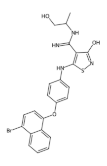 CC(CO)NC(=N)c1c(O)nsc1Nc1ccc(Oc2ccc(Br)c3ccccc23)cc1